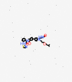 CC(C)CCOCCCCN(CCNC=O)c1ccc(-c2ccc3c(c2)C(=O)N(C(C(=O)Nc2nccs2)c2ccccc2)C3)cc1